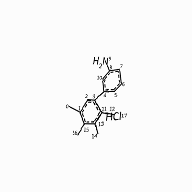 Cc1cc(-c2cccc(N)c2)c(C)c(C)c1C.Cl